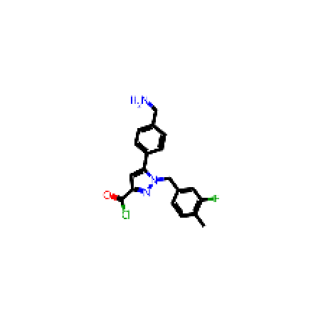 Cc1ccc(Cn2nc(C(=O)Cl)cc2-c2ccc(CN)cc2)cc1F